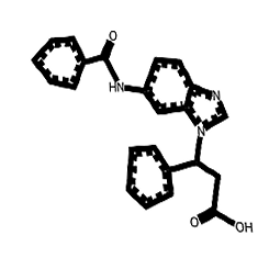 O=C(O)CC(c1ccccc1)n1cnc2ccc(NC(=O)c3ccccc3)cc21